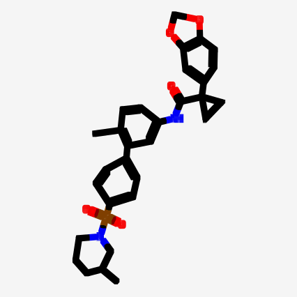 Cc1ccc(NC(=O)C2(c3ccc4c(c3)OCO4)CC2)cc1-c1ccc(S(=O)(=O)N2CCCC(C)C2)cc1